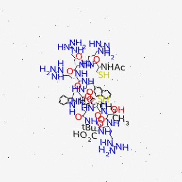 CC(=O)N[C@@H](CS)C(=O)N[C@H](CCCNC(=N)N)C(=O)N[C@@H](CCCNC(=N)N)C(=O)N[C@@H](CCCNC(=N)N)C(=O)N[C@@H](Cc1ccc2ccccc2c1)C(=O)N[C@@H](Cc1c[nH]c2ccccc12)C(=O)N[C@@H](CCC(N)=O)C(=O)N[C@H](C(=O)N[C@H](C(=O)N[C@@H](CCCNC(=N)N)C(=O)N[C@H](C(=O)O)C(C)(C)C)[C@@H](C)O)C(C)(C)S